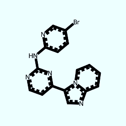 Brc1ccc(Nc2nccc(-c3cnc4ccccn34)n2)nc1